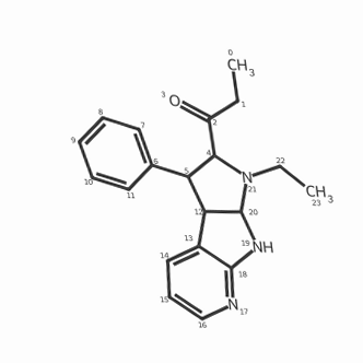 CCC(=O)C1C(c2ccccc2)C2c3cccnc3NC2N1CC